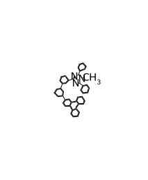 CN1C(c2ccccc2)=NC(c2cccc(-c3cccc(-c4ccc5c6ccccc6c6ccccc6c5c4)c3)c2)=NC1c1ccccc1